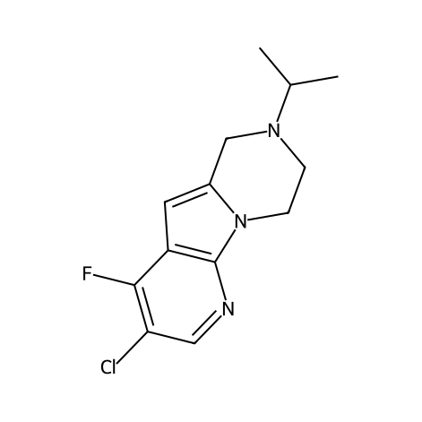 CC(C)N1CCn2c(cc3c(F)c(Cl)cnc32)C1